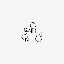 CN1CCCCC1CCc1ccccc1NC(=O)c1cccnc1